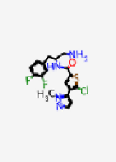 Cn1nccc1-c1cc(C(=O)NC(CN)Cc2ccc(F)c(F)c2)sc1Cl